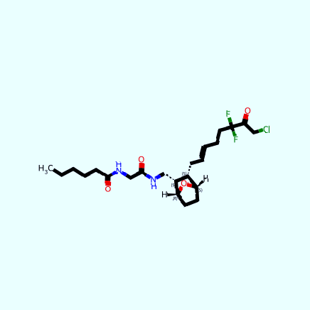 CCCCCC(=O)NCC(=O)NC[C@@H]1[C@H](CC=CCCC(F)(F)C(=O)CCl)[C@@H]2CC[C@H]1O2